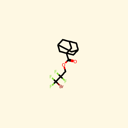 O=C(OCC(F)(F)C(F)(F)Br)C12CC3CC(CC(C3)C1)C2